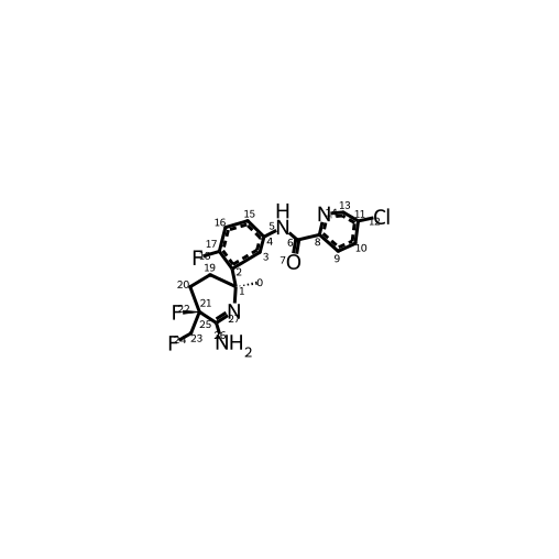 C[C@@]1(c2cc(NC(=O)c3ccc(Cl)cn3)ccc2F)CC[C@@](F)(CF)C(N)=N1